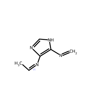 C=Nc1[nH]cnc1/N=C\C